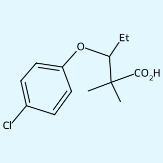 CCC(Oc1ccc(Cl)cc1)C(C)(C)C(=O)O